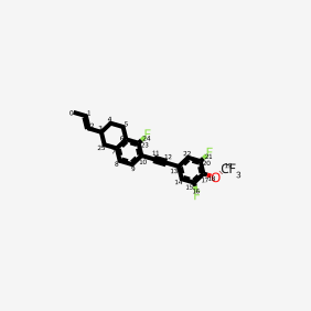 C/C=C/C1CCc2c(ccc(C#Cc3cc(F)c(OC(F)(F)F)c(F)c3)c2F)C1